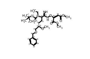 CCN(C(=O)OC(C)(C)C)C(CC[C@@H](COCc1ccccc1)OC)C(=N)NOC(=CC(=O)OC)C(=O)OC